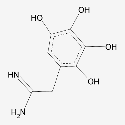 N=C(N)Cc1cc(O)c(O)c(O)c1O